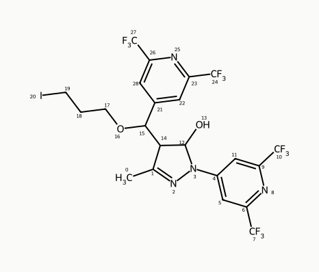 CC1=NN(c2cc(C(F)(F)F)nc(C(F)(F)F)c2)C(O)C1C(OCCCI)c1cc(C(F)(F)F)nc(C(F)(F)F)c1